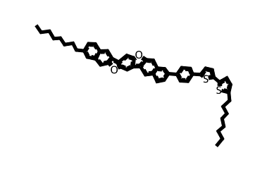 CCCCCCCCc1ccc2cc3c(cc2c1)oc1cc2c(cc13)oc1cc3cc(-c4ccc(-c5ccc(-c6ccc(CCCCCCCC)s6)s5)cc4)ccc3cc12